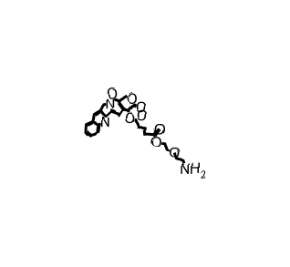 NCCOCCOC(=O)CCCC(=O)OC1C(=O)OCc2c1cc1n(c2=O)Cc2cc3ccccc3nc2-1